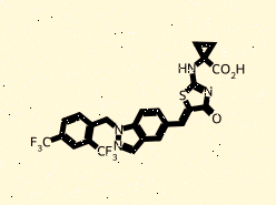 O=C1N=C(NC2(C(=O)O)CC2)S/C1=C\c1ccc2c(cnn2Cc2ccc(C(F)(F)F)cc2C(F)(F)F)c1